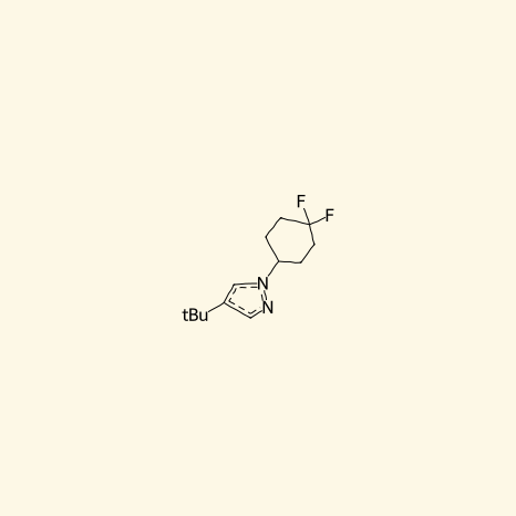 CC(C)(C)c1cnn(C2CCC(F)(F)CC2)c1